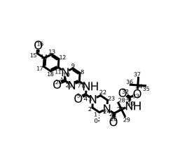 C[C@@H]1CN(C(=O)Nc2ccn(-c3ccc(C=O)cc3)c(=O)n2)CCN1C(=O)C(C)(C)NC(=O)OC(C)(C)C